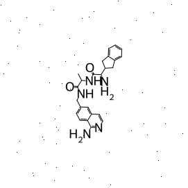 CC(NC(=O)C(N)C1Cc2ccccc2C1)C(=O)NCc1ccc2c(N)nccc2c1